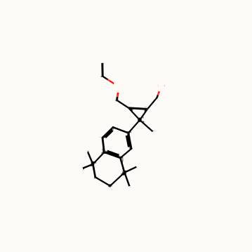 CCOCC1C(CO)C1(C)c1ccc2c(c1)C(C)(C)CCC2(C)C